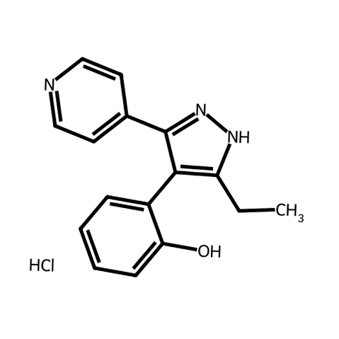 CCc1[nH]nc(-c2ccncc2)c1-c1ccccc1O.Cl